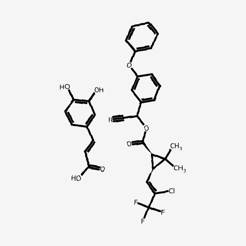 CC1(C)[C@H](C(=O)OC(C#N)c2cccc(Oc3ccccc3)c2)[C@@H]1/C=C(\Cl)C(F)(F)F.O=C(O)/C=C/c1ccc(O)c(O)c1